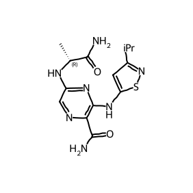 CC(C)c1cc(Nc2nc(N[C@H](C)C(N)=O)cnc2C(N)=O)sn1